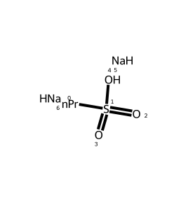 CCCS(=O)(=O)O.[NaH].[NaH]